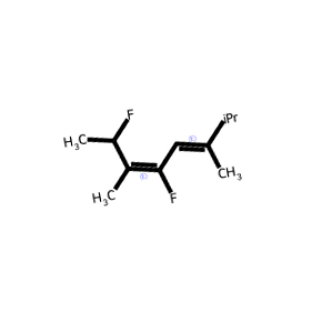 C/C(=C\C(F)=C(\C)C(C)F)C(C)C